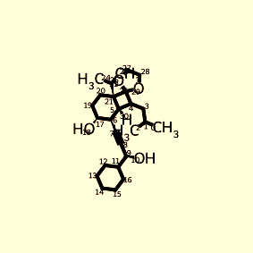 CC(C)CC1[C@@H]2[C@@H](C#C[C@@H](O)C3CCCCC3)[C@H](O)CC[C@]2(C(C)C)C12OCCO2